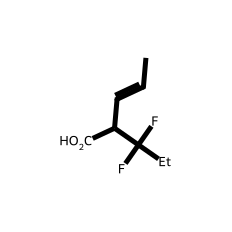 C/C=C/C(C(=O)O)C(F)(F)CC